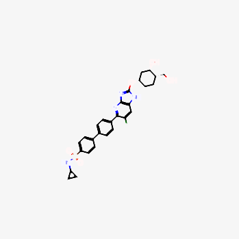 O=S(=O)(NC1CC1)c1ccc(-c2ccc(-c3nc4nc(O[C@H]5CC[C@H](CO)[C@@H](O)C5)[nH]c4cc3Cl)cc2)cc1